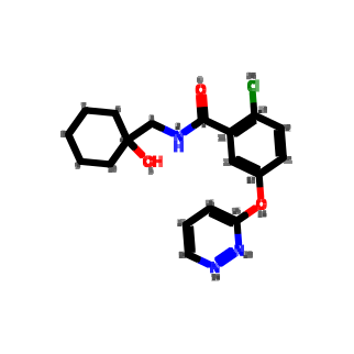 O=C(NCC1(O)CCCCC1)c1cc(Oc2cccnn2)ccc1Cl